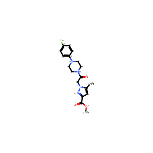 CCCOC(=O)c1cc(CCC)n(CC(=O)N2CCN(c3ccc(F)cc3)CC2)n1